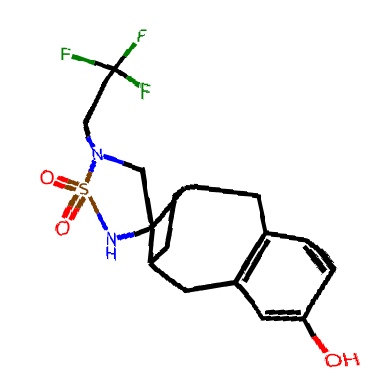 O=S1(=O)NC2(CN1CC(F)(F)F)C1CCC2Cc2cc(O)ccc2C1